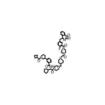 O=C(N[C@@H](C(=O)N1CCN(CC2CCN(CC(=O)N3CCN(C(=O)c4cc(Cc5n[nH]c(=O)c6ccccc56)ccc4F)CC3)CC2)CC1)C1CCCCC1)c1cccc(C2CCCN(C(=O)C3CCC3)C2)c1